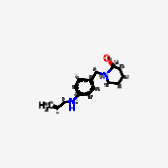 C=CCNc1ccc(CN2CCCCC2=O)cc1